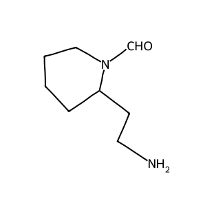 NCCC1CCCCN1C=O